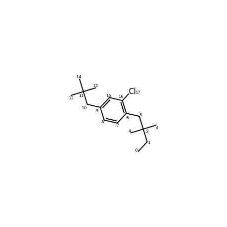 CCC(C)(C)Cc1ccc(CC(C)(C)C)cc1Cl